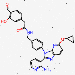 Nc1ncccc1-c1nc2ccc(OC3CC3)nc2n1-c1ccc(CNC(=O)Cc2ccc(C=O)c(O)c2)cc1